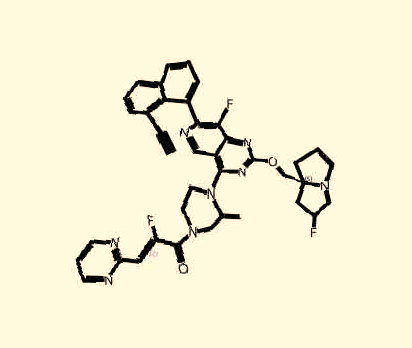 C#Cc1cccc2cccc(-c3ncc4c(N5CCN(C(=O)/C(F)=C/c6ncccn6)CC5C)nc(OC[C@@]56CCCN5CC(F)C6)nc4c3F)c12